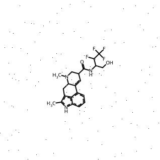 Cc1[nH]c2cccc3c2c1CC1C3=CC(C(=O)NC(CO)C(F)C(F)(F)F)CN1C